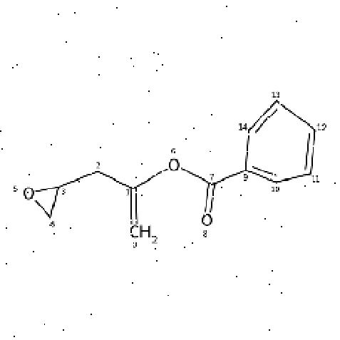 C=C(CC1CO1)OC(=O)c1ccccc1